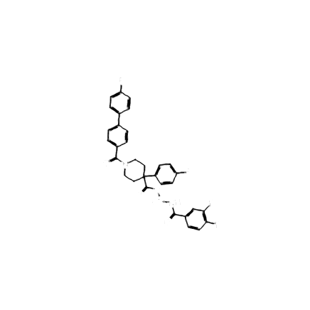 O=C(NNOC(=O)C1(c2ccc(F)cc2)CCN(C(=O)c2ccc(-c3ccc(F)cc3)cc2)CC1)c1ccc(F)c(F)c1